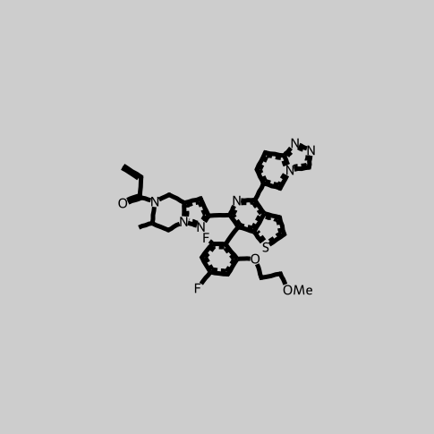 C=CC(=O)N1Cc2cc(-c3nc(-c4ccc5nncn5c4)c4ccsc4c3-c3c(F)cc(F)cc3OCCOC)nn2CC1C